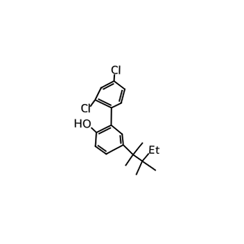 CCC(C)(C)C(C)(C)c1ccc(O)c(-c2ccc(Cl)cc2Cl)c1